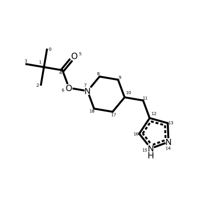 CC(C)(C)C(=O)ON1CCC(Cc2cn[nH]c2)CC1